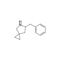 c1ccc(CC2CC3(CC3)CN2)cc1